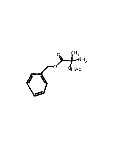 CC(=O)N[C@@](C)(N)C(=O)OCc1ccccc1